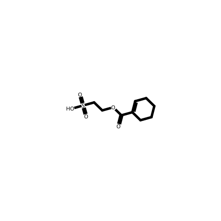 O=C(OCCS(=O)(=O)O)C1=CCCCC1